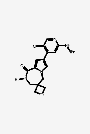 CCN1CC2(COC2)Cn2cc(-c3cc(NC(C)C)ncc3Cl)cc2C1=O